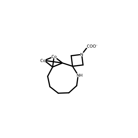 O=C([O-])N1CC2(C1)NCCCCC[C]13[Co]4[Co]1[C]423